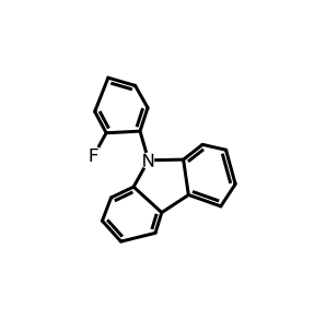 Fc1ccccc1-n1c2ccccc2c2ccccc21